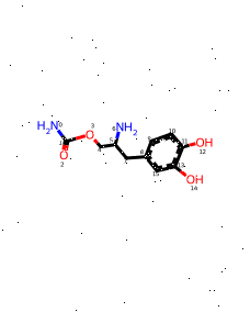 NC(=O)OCC(N)Cc1ccc(O)c(O)c1